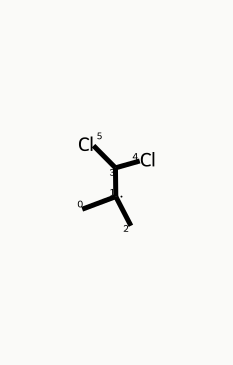 C[C](C)C(Cl)Cl